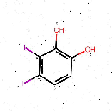 Oc1ccc(I)c(I)c1O